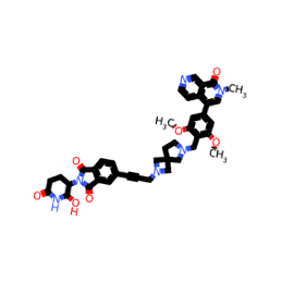 COc1cc(-c2cn(C)c(=O)c3cnccc23)cc(OC)c1CN1CCC2(C1)CN(CC#Cc1ccc3c(c1)C(=O)N(C1CCC(=O)NC1O)C3=O)C2